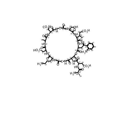 CC1NC(=O)C(CC(=O)O)NC(=O)C(CCCN)NC(=O)CNC(=O)C(NC(=O)C(CC(=O)O)NC(=O)[C@@H](C)N)C(C)OC(=O)C(CC(=O)c2ccccc2N)NC(=O)C(C(C)CC(=O)O)NC(=O)C(CO)NC(=O)CNC(=O)C(CC(=O)O)NC1=O